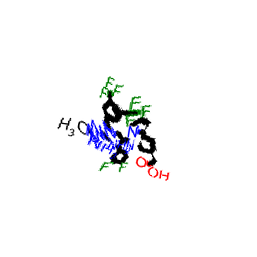 CN(N)/N=C(\N)N(Cc1cc(C(F)(F)F)cc(C(F)(F)F)c1)Cc1cc2cc(F)c(F)cc2nc1N1CCC[C@@H]1[C@H]1CC[C@H](CC(=O)O)CC1